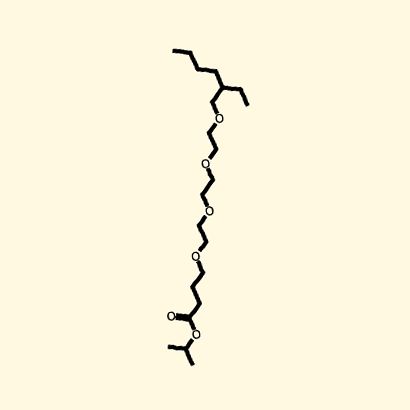 CCCCC(CC)COCCOCCOCCOCCCC(=O)OC(C)C